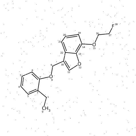 CCc1ccccc1OCc1coc2c(OCCF)cccc12